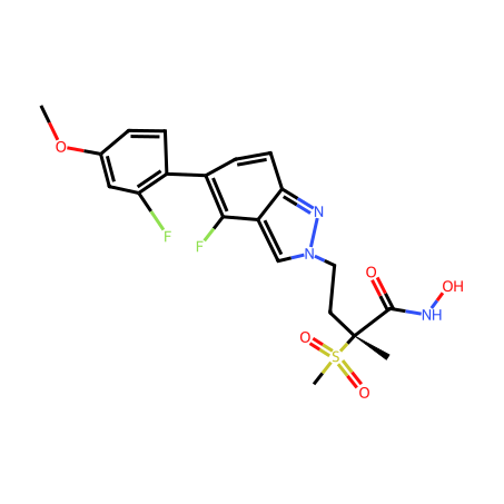 COc1ccc(-c2ccc3nn(CC[C@](C)(C(=O)NO)S(C)(=O)=O)cc3c2F)c(F)c1